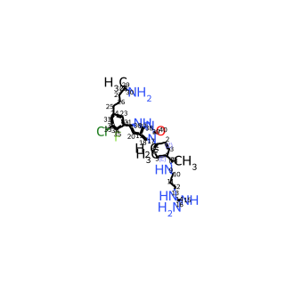 C=C(/C=C\C(=C/C)[C@H](C)NCCCNC(=N)N)n1cc2cc(-c3cc(CCC[C@H](C)N)cc(Cl)c3F)[nH]c2nc1=O